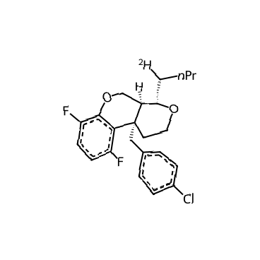 [2H]C(CCC)[C@@H]1OCC[C@@]2(Cc3ccc(Cl)cc3)c3c(F)ccc(F)c3OC[C@@H]12